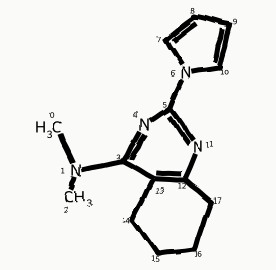 CN(C)c1nc(-n2cccc2)nc2c1CCCC2